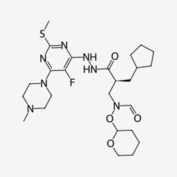 CSc1nc(NNC(=O)[C@@H](CC2CCCC2)CN(C=O)OC2CCCCO2)c(F)c(N2CCN(C)CC2)n1